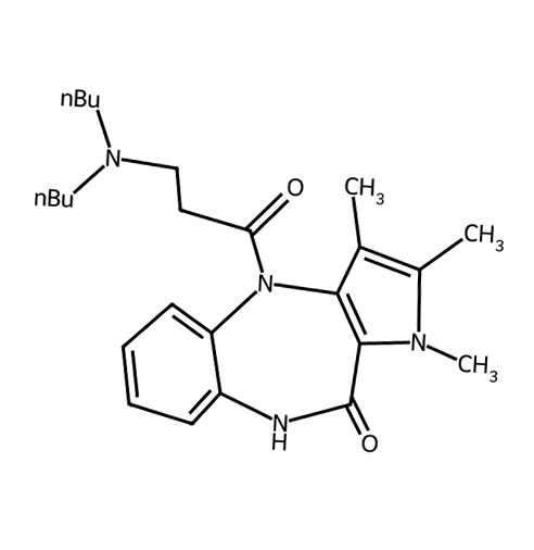 CCCCN(CCCC)CCC(=O)N1c2ccccc2NC(=O)c2c1c(C)c(C)n2C